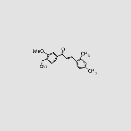 COc1cc(C(=O)/C=C/c2ccc(C)cc2C)ccc1CO